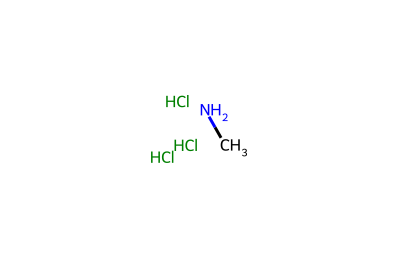 CN.Cl.Cl.Cl